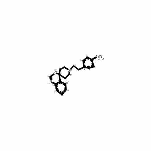 O=[N+]([O-])c1ccc(CCN2CCC3(CC2)OC=Nc2ccccc23)cc1